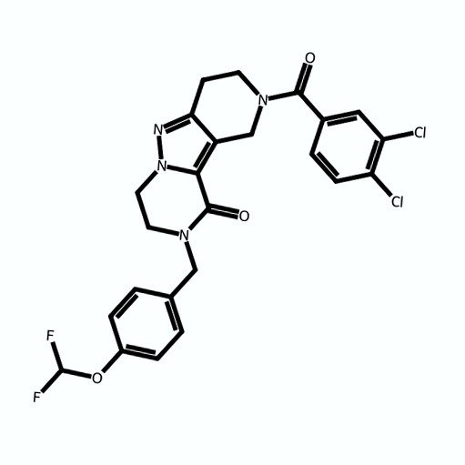 O=C(c1ccc(Cl)c(Cl)c1)N1CCc2nn3c(c2C1)C(=O)N(Cc1ccc(OC(F)F)cc1)CC3